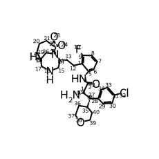 N[C@H](C(=O)Nc1cccc(F)c1CC[C@H]1CNC[C@@H]2CCCS(=O)(=O)N1C2)[C@@H](c1ccc(Cl)cc1)C1CCOCC1